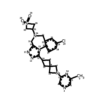 Cc1cncc(N2CC3(CC(c4nnc5n4-c4ccc(Cl)cc4CN(C4CS(=O)(=O)C4)C5)C3)C2)n1